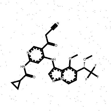 COc1c([C@H](OC)C(F)(F)F)ccn2ncc(Nc3cc(NC(=O)C4CC4)ncc3C(=O)CC#N)c12